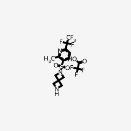 Cc1nc(C(F)(F)C(F)(F)F)ccc1S(=O)(=O)N1CC2(CNC2)C1.O=C(O)C(F)(F)F